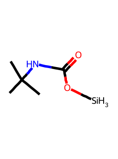 CC(C)(C)NC(=O)O[SiH3]